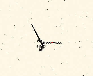 CCCCCCCCCCCCCCCCC(=O)OCC(COP(=O)(O)OCC[N+](C)(C)C)OC(=O)CCCCCCCCCCCCCCCC